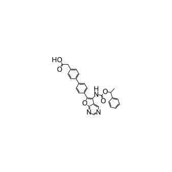 CC(OC(=O)Nc1c(-c2ccc(-c3ccc(CC(=O)O)cc3)cc2)oc2ncncc12)c1ccccc1